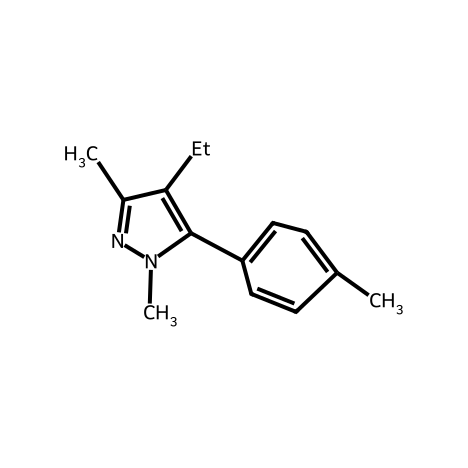 CCc1c(C)nn(C)c1-c1ccc(C)cc1